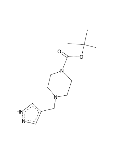 CC(C)(C)OC(=O)N1CCN(Cc2cn[nH]c2)CC1